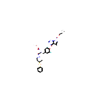 Cc1cn(COCC[Si](C)(C)C)c2ncnc(Oc3c(F)cc(C[C@H](NC(=O)OC(C)(C)C)C(=O)N4CCC(S(=O)(=O)c5ccccc5)CC4)cc3F)c12